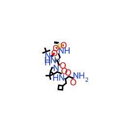 C=CS(=O)(=O)NCC[C@H](NC(=O)NC(C)(C)C)C(=O)N1CC2C(C1C(=O)NC(CC1CCC1)C(=O)C(N)=O)C2(C)C